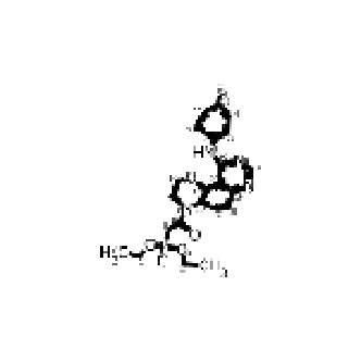 CCOP(=O)(CC(=O)N1CCOc2c1ccc1ncnc(Nc3ccc(F)cc3)c21)OCC